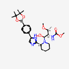 COC(=O)N[C@H](C(O)N1CCCC[C@H]1c1ncc(-c2ccc(B3OC(C)(C)C(C)(C)O3)cc2)[nH]1)[C@@H](C)OC